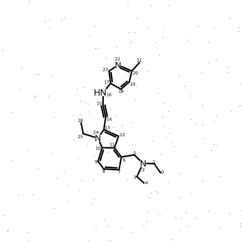 CCN(CC)Cc1cccc2c1cc(C#CNc1ccc(C)nc1)n2CC